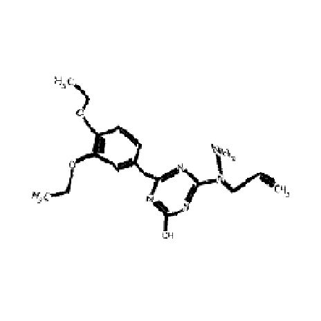 C=CCN(N)c1nc(O)nc(-c2ccc(OCC)c(OCC)c2)n1